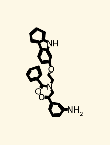 Nc1cccc(C(=O)CN(CCOc2ccc3c(c2)[nH]c2ccccc23)C(=O)c2ccccc2)c1